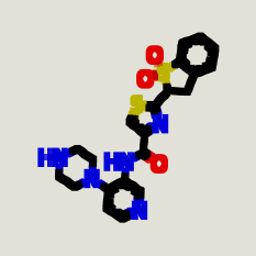 O=C(Nc1cnccc1N1CCNCC1)c1csc(C2Cc3ccccc3S2(=O)=O)n1